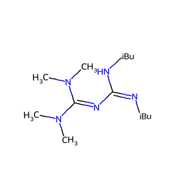 CCC(C)/N=C(\N=C(N(C)C)N(C)C)NC(C)CC